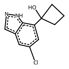 OC1(c2cc(Cl)cc3cn[nH]c23)CCC1